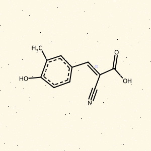 Cc1cc(/C=C(\C#N)C(=O)O)ccc1O